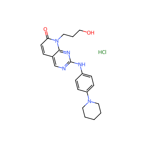 Cl.O=c1ccc2cnc(Nc3ccc(N4CCCCC4)cc3)nc2n1CCCO